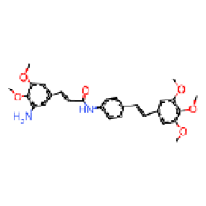 COc1cc(/C=C/C(=O)Nc2ccc(/C=C/c3cc(OC)c(OC)c(OC)c3)cc2)cc(N)c1OC